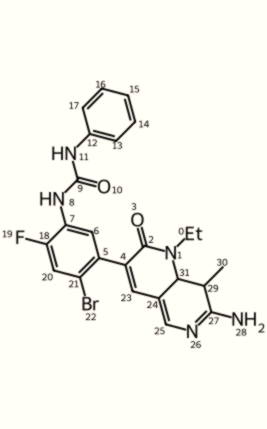 CCN1C(=O)C(c2cc(NC(=O)Nc3ccccc3)c(F)cc2Br)=CC2=CN=C(N)C(C)C21